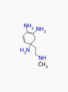 CNCCC1(N)C=CC(N)=C(N)C1